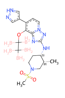 BC(B)(B)C(B)(B)Oc1c(-c2cn[nH]c2)ccn2nc(N[C@H]3CCN(S(C)(=O)=O)C[C@H]3C)nc12